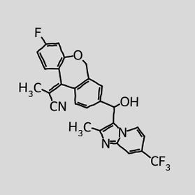 C/C(C#N)=C1/c2ccc(C(O)c3c(C)nc4cc(C(F)(F)F)ccn34)cc2COc2cc(F)ccc21